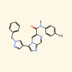 CN(C(=O)c1cn2c(-c3cnn(Cc4ccccc4)c3)cnc2cn1)c1ccc(C#N)cc1